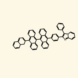 C1=CC2=CC=C(c3c4ccccc4c(-c4c5ccccc5c(-c5ccc(-c6nc7ccccn7c6-c6ccccc6)cc5)c5ccccc45)c4ccccc34)CC2C=C1